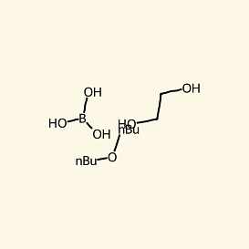 CCCCOCCCC.OB(O)O.OCCO